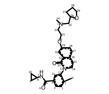 Cc1ccc(C(=O)NC2CC2)cc1-n1ccc2ccc(OCCN(C)CC3CCCO3)cc2c1=O